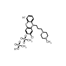 CN1CCN(CCCN2c3ccccc3Sc3ccc(Cl)cc32)CC1.CS(=O)(=O)[O-].CS(=O)(=O)[O-].[H+].[H+]